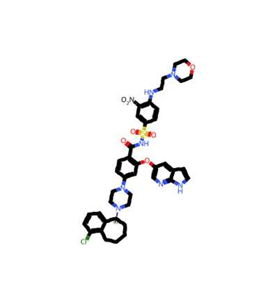 O=C(NS(=O)(=O)c1ccc(NCCN2CCOCC2)c([N+](=O)[O-])c1)c1ccc(N2CCN([C@@H]3CCCCc4c(Cl)cccc43)CC2)cc1Oc1cnc2[nH]ccc2c1